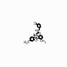 Cc1ccc(S(=O)(=O)N(CC(=O)NCc2cccc(Cl)c2)c2cccc(C)c2C)cc1